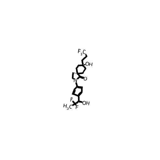 CC(F)(F)C(O)c1ccc(N2CC[C@]3(CC[C@@](O)(CCC(F)(F)F)CC3)C2=O)cc1